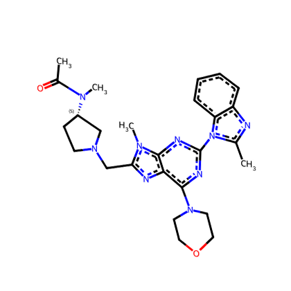 CC(=O)N(C)[C@H]1CCN(Cc2nc3c(N4CCOCC4)nc(-n4c(C)nc5ccccc54)nc3n2C)C1